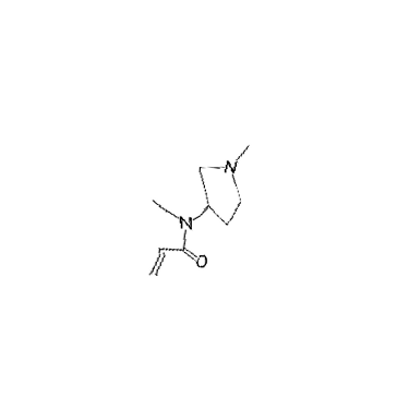 [CH]=CC(=O)N(C)C1CCN(C)C1